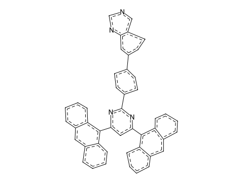 c1ccc2c(-c3cc(-c4c5ccccc5cc5ccccc45)nc(-c4ccc(-c5ccc6cncnc6c5)cc4)n3)c3ccccc3cc2c1